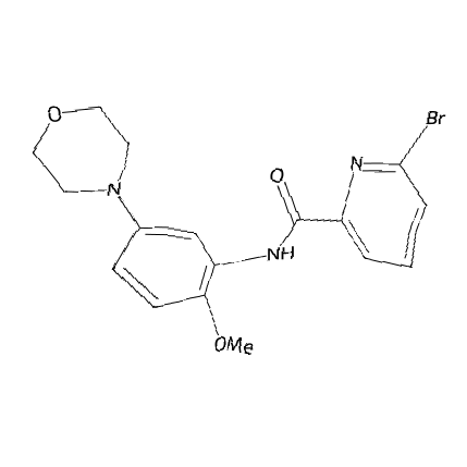 COc1ccc(N2CCOCC2)cc1NC(=O)c1cccc(Br)n1